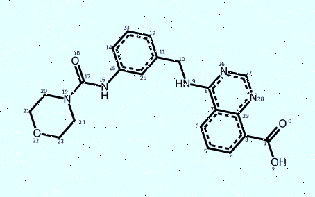 O=C(O)c1cccc2c(NCc3cccc(NC(=O)N4CCOCC4)c3)ncnc12